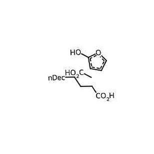 CC(=O)O.CCCCCCCCCCCCCC(=O)O.Oc1ccco1